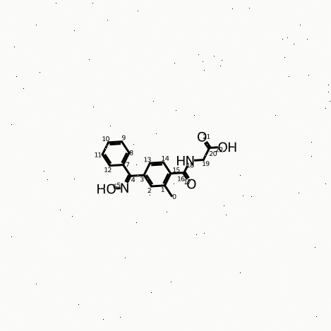 Cc1cc(C(=NO)c2ccccc2)ccc1C(=O)NCC(=O)O